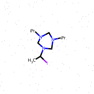 CC(C)N1CN(C(C)C)CN(C(C)I)C1